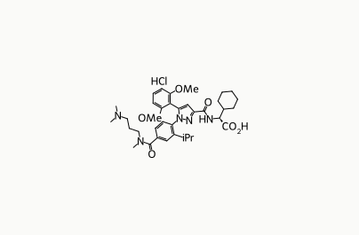 COc1cccc(OC)c1-c1cc(C(=O)N[C@H](C(=O)O)C2CCCCC2)nn1-c1ccc(C(=O)N(C)CCCN(C)C)cc1C(C)C.Cl